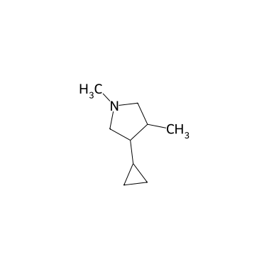 CC1CN(C)CC1C1CC1